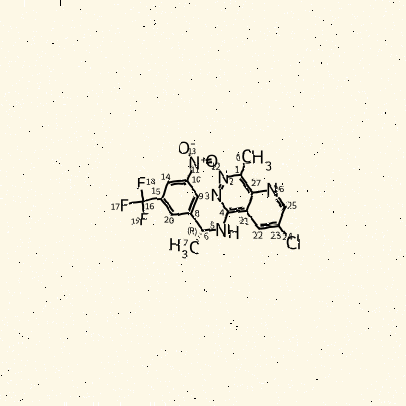 Cc1nnc(N[C@H](C)c2cc([N+](=O)[O-])cc(C(F)(F)F)c2)c2cc(Cl)cnc12